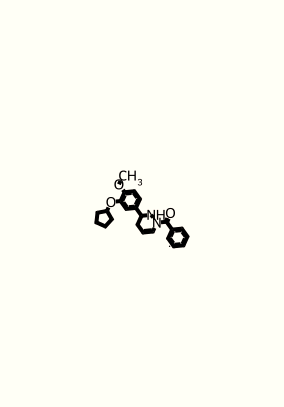 COc1ccc(C2CC=CN(C(=O)c3c[c]ccc3)N2)cc1OC1CCCC1